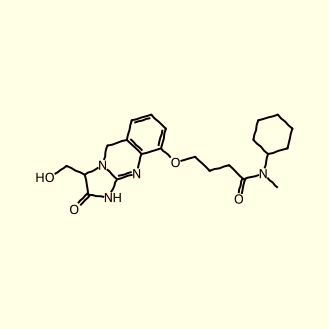 CN(C(=O)CCCOc1cccc2c1N=C1NC(=O)C(CO)N1C2)C1CCCCC1